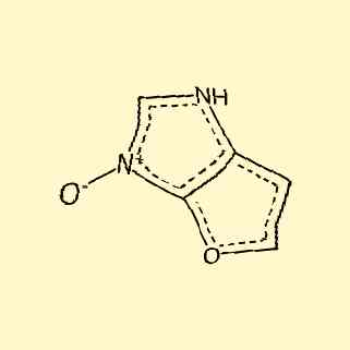 [O-][n+]1c[nH]c2ccoc21